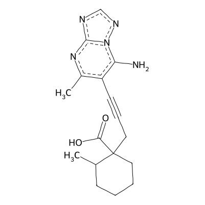 Cc1nc2ncnn2c(N)c1C#CCC1(C(=O)O)CCCCC1C